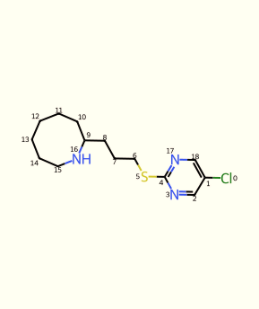 Clc1cnc(SCCCC2CCCCCCN2)nc1